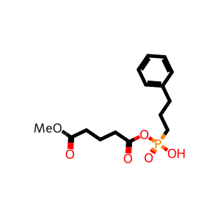 COC(=O)CCCC(=O)OP(=O)(O)CCCc1ccccc1